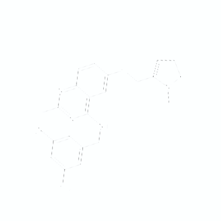 Cc1nc(N[C@H](C)c2cc(N)cc(C(F)(F)F)c2)c2cc(OCC3=CCCN3C)ccc2n1